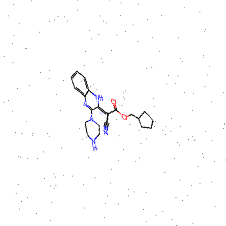 N#C/C(C(=O)OCC1CCCC1)=C1/Nc2ccccc2N=C1N1CCNCC1